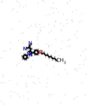 CCCCCCCCCCOc1ccc(-c2nn(-c3ccccc3)cc2C=C(C#N)C#N)cc1